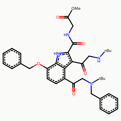 CCCCNCC(=O)c1c(C(=O)NCC(=O)OC)[nH]c2c(OCc3ccccc3)ccc(C(=O)CN(Cc3ccccc3)C(C)(C)C)c12